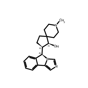 CN1CCC2(CC[C@H]([C@@H]3c4ccccc4-c4cncn43)[C@@H]2O)CC1